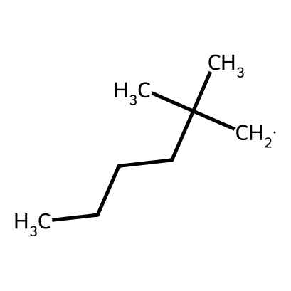 [CH2]C(C)(C)CCCC